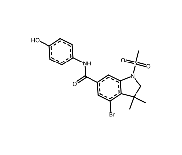 CC1(C)CN(S(C)(=O)=O)c2cc(C(=O)Nc3ccc(O)cc3)cc(Br)c21